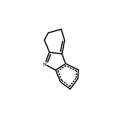 C1=C2C(=Nc3ccccc32)CCC1